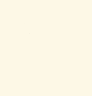 CC(C)N(CC[C@H](c1ccccc1)c1cc(C(=O)O[C@H]2CCC[C@@H](C)C2)ccc1O)C(C)C